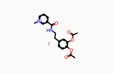 CC(=O)Oc1ccc(CCNC(=O)c2ccc[n+](C)c2)cc1OC(C)=O.[I-]